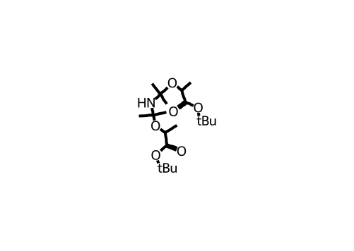 CC(OC(C)(C)NC(C)(C)OC(C)C(=O)OC(C)(C)C)C(=O)OC(C)(C)C